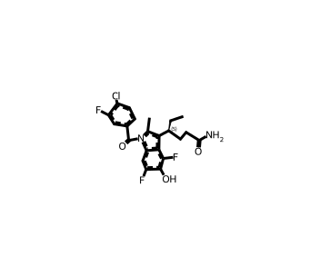 CC[C@@H](CCC(N)=O)c1c(C)n(C(=O)c2ccc(Cl)c(F)c2)c2cc(F)c(O)c(F)c12